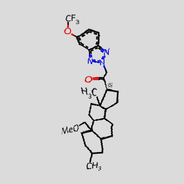 COCC12CCC(C)CC1CCC1C2CCC2(C)C1CC[C@@H]2C(=O)Cn1nc2ccc(OC(F)(F)F)cc2n1